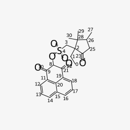 CCC1(CS(=O)(=O)OC2C(=O)c3cccc4cccc(c34)C2=O)C(=O)CC(C)C1(C)C